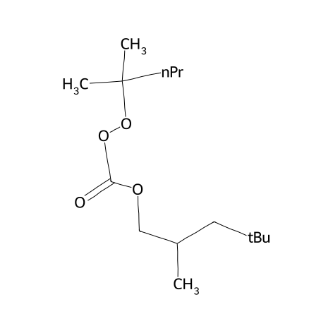 CCCC(C)(C)OOC(=O)OCC(C)CC(C)(C)C